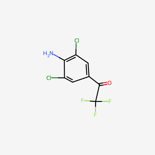 Nc1c(Cl)cc(C(=O)C(F)(F)F)cc1Cl